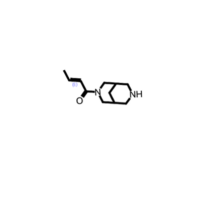 C/C=C/C(=O)N1CC2CNCC(C2)C1